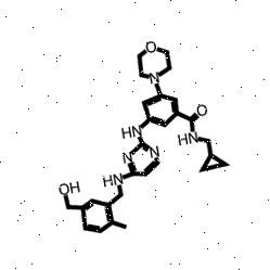 Cc1ccc(CO)cc1CNc1ccnc(Nc2cc(C(=O)NCC3CC3)cc(N3CCOCC3)c2)n1